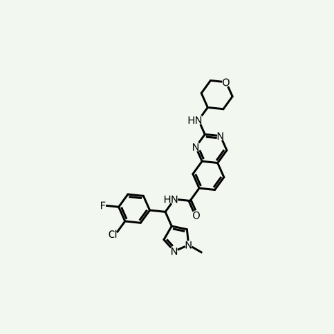 Cn1cc(C(NC(=O)c2ccc3cnc(NC4CCOCC4)nc3c2)c2ccc(F)c(Cl)c2)cn1